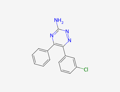 Nc1nnc(-c2cccc(Cl)c2)c(-c2ccccc2)n1